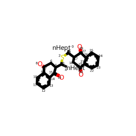 CCCCCCCC(SC(CCCCCCC)C1CC(=O)c2ccccc2C1=O)C1CC(=O)c2ccccc2C1=O